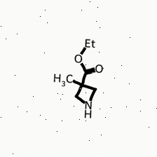 CCOC(=O)C1(C)CNC1